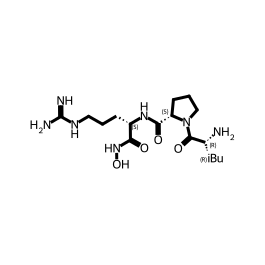 CC[C@@H](C)[C@@H](N)C(=O)N1CCC[C@H]1C(=O)N[C@@H](CCCNC(=N)N)C(=O)NO